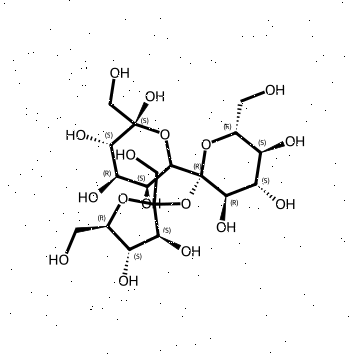 OC[C@H]1OC(CO)(O[C@]2(C3O[C@@](O)(CO)[C@@H](O)[C@H](O)[C@@H]3O)O[C@H](CO)[C@@H](O)[C@H](O)[C@H]2O)[C@@H](O)[C@@H]1O